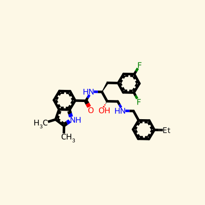 CCc1cccc(CNC[C@H](O)[C@H](Cc2cc(F)cc(F)c2)NC(=O)c2cccc3c(C)c(C)[nH]c23)c1